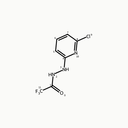 O=C(NNc1cccc(Cl)n1)C(F)(F)F